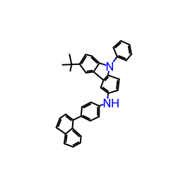 CC(C)(C)c1ccc2c(c1)c1cc(Nc3ccc(-c4cccc5ccccc45)cc3)ccc1n2-c1ccccc1